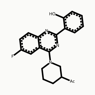 CC(=O)C1CCCN(c2nc(-c3ccccc3O)nc3ccc(F)cc23)C1